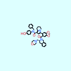 O=C(c1cc(-c2cc3c(cc2C(=O)N2Cc4ccccc4C[C@H]2CN2CCOCC2)OCO3)n2c1CCCC2)N(Cc1ccccc1)c1ccc(O)cc1